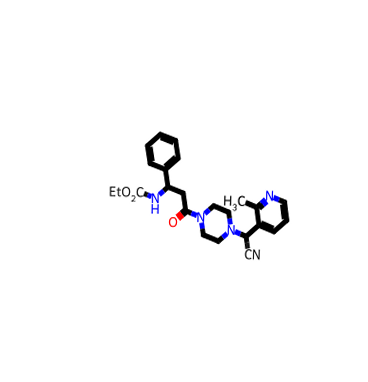 CCOC(=O)NC(CC(=O)N1CCN(C(C#N)c2cccnc2C)CC1)c1ccccc1